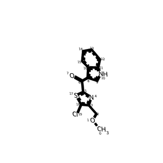 COCc1nc(C(=O)c2c[nH]c3ccccc23)sc1Cl